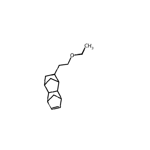 CCOCCC1CC2CC1C1C3C=CC(C3)C21